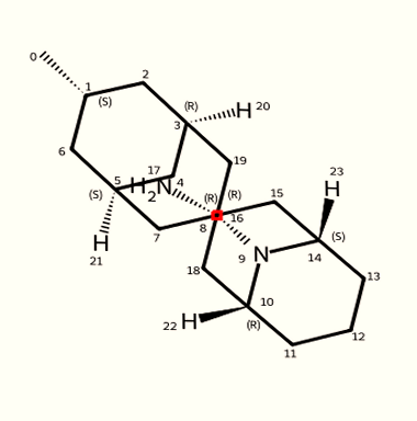 C[C@@H]1C[C@@H]2C[C@H](C1)C[C@@H](N1[C@@H]3CCC[C@H]1C[C@@H](N)C3)C2